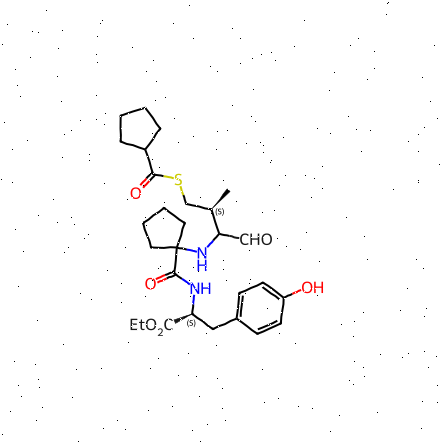 CCOC(=O)[C@H](Cc1ccc(O)cc1)NC(=O)C1(NC(C=O)[C@H](C)CSC(=O)C2CCCC2)CCCC1